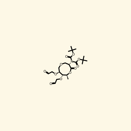 C[C@@H]1OC(=O)[C@@H](N(C(=O)OC(C)(C)C)C(=O)OC(C)(C)C)COC[C@H](OCC=O)[C@H]1OCC=O